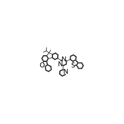 CC(C)C1(C)c2ccc(-c3nc(-c4ccccn4)cc(-c4cccc5c4sc4ccccc45)n3)cc2-c2c1ccc1oc3ccccc3c21